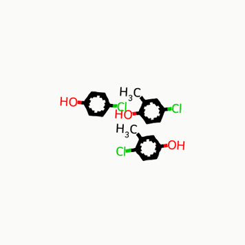 Cc1cc(Cl)ccc1O.Cc1cc(O)ccc1Cl.Oc1ccc(Cl)cc1